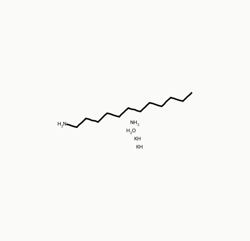 CCCCCCCCCCCCN.N.O.[KH].[KH]